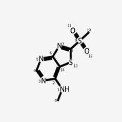 CNc1ncnc2nc(S(C)(=O)=O)sc12